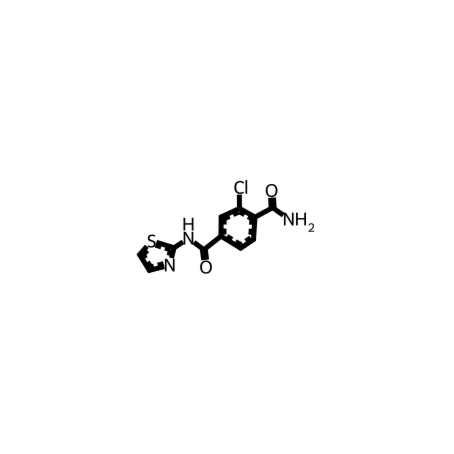 NC(=O)c1ccc(C(=O)Nc2nccs2)cc1Cl